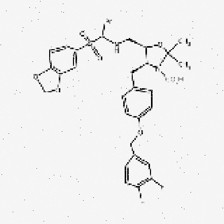 CC(C)C(NC[C@H]1OC(C)(C)N(C(=O)O)[C@H]1Cc1ccc(OCc2ccc(F)c(F)c2)cc1)S(=O)(=O)c1ccc2c(c1)OCO2